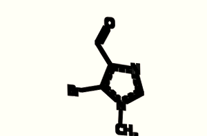 Cn1cnc(C=O)c1Br